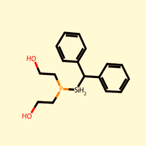 OCCP(CCO)[SiH2]C(c1ccccc1)c1ccccc1